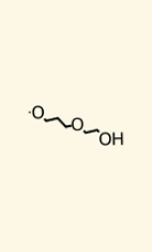 [O]CCCOCCO